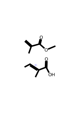 C/C=C(\C)C(=O)O.C=C(C)C(=O)OC